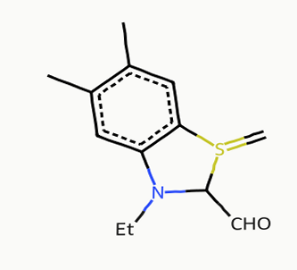 C=S1c2cc(C)c(C)cc2N(CC)C1C=O